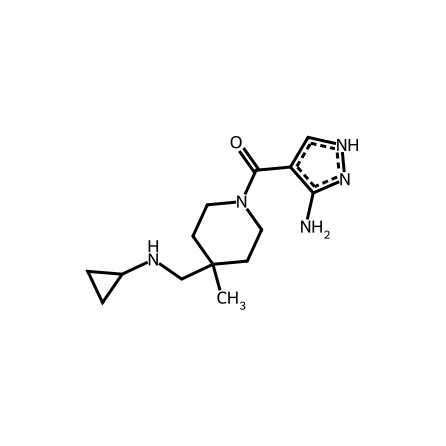 CC1(CNC2CC2)CCN(C(=O)c2c[nH]nc2N)CC1